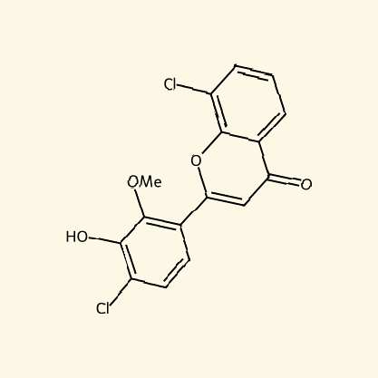 COc1c(-c2cc(=O)c3cccc(Cl)c3o2)ccc(Cl)c1O